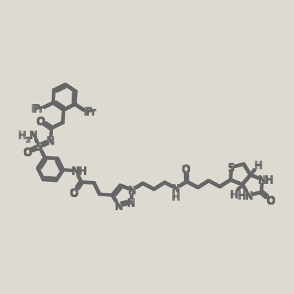 CC(C)c1cccc(C(C)C)c1CC(=O)N=S(N)(=O)c1cccc(NC(=O)CCc2cn(CCCNC(=O)CCCC3SC[C@@H]4NC(=O)N[C@H]34)nn2)c1